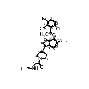 CNCC(=O)N1CC=C(c2coc3c(O[C@H](C)c4c(Cl)ccc(F)c4Cl)c(N)ncc23)CC1